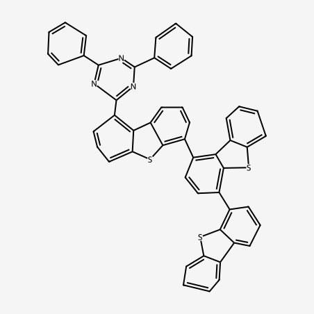 c1ccc(-c2nc(-c3ccccc3)nc(-c3cccc4sc5c(-c6ccc(-c7cccc8c7sc7ccccc78)c7sc8ccccc8c67)cccc5c34)n2)cc1